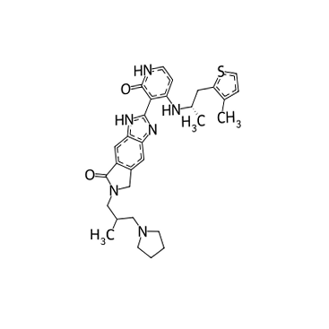 Cc1ccsc1C[C@H](C)Nc1cc[nH]c(=O)c1-c1nc2cc3c(cc2[nH]1)C(=O)N(CC(C)CN1CCCC1)C3